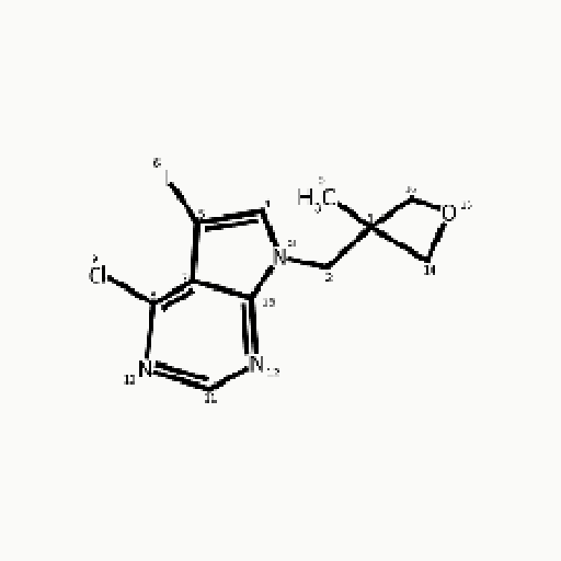 CC1(Cn2cc(I)c3c(Cl)ncnc32)COC1